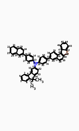 CC1(C)c2ccccc2-c2cc(N(c3ccc(-c4ccc5ccccc5c4)cc3)c3ccc(-c4ccc5c(ccc6sc7ccccc7c65)c4)cc3)ccc21